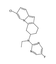 CCN(c1ncc(F)cn1)C1CCc2cc3ccc(Cl)cn3c2C1